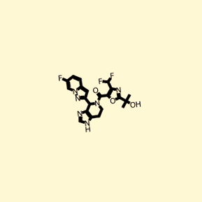 CC(C)(O)c1nc(C(F)F)c(C(=O)N2CCc3[nH]cnc3C2c2cc3ccc(F)cn3n2)o1